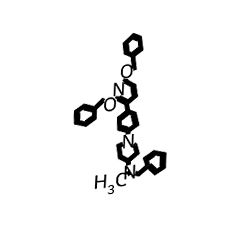 CN(Cc1ccccc1)C1CCN(c2ccc(-c3ccc(OCc4ccccc4)nc3OCc3ccccc3)cc2)CC1